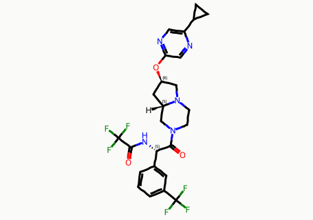 O=C([C@@H](NC(=O)C(F)(F)F)c1cccc(C(F)(F)F)c1)N1CCN2C[C@H](Oc3cnc(C4CC4)cn3)C[C@H]2C1